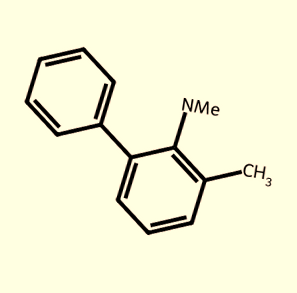 CNc1c(C)cccc1-c1ccccc1